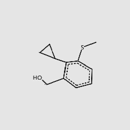 CSc1cccc([CH]O)c1C1CC1